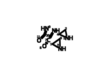 C1CN1.C1CN1.N=C=O.N=C=O